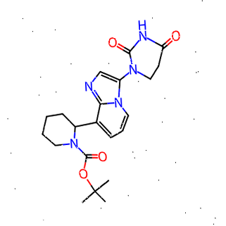 CC(C)(C)OC(=O)N1CCCCC1c1cccn2c(N3CCC(=O)NC3=O)cnc12